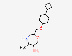 BC1COC(COC2CCC(C3CCC3)CC2)CN(I)C1C